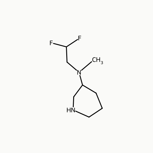 CN(CC(F)F)C1CCCNC1